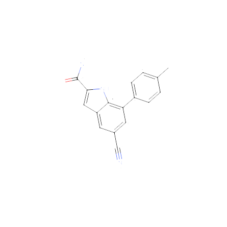 Cc1ccc(-c2cc(C#N)cc3cc(C(N)=O)[nH]c23)cc1